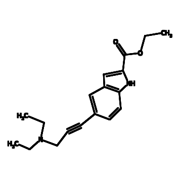 CCOC(=O)c1cc2cc(C#CCN(CC)CC)ccc2[nH]1